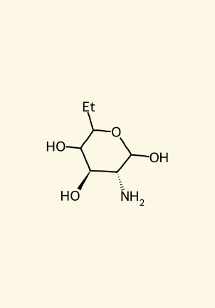 CCC1OC(O)[C@H](N)[C@@H](O)C1O